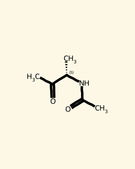 CC(=O)N[C@@H](C)C(C)=O